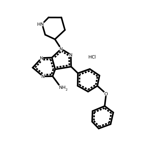 Cl.Nc1ncnc2c1c(-c1ccc(Oc3ccccc3)cc1)nn2C1CCCNC1